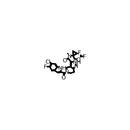 CN(C(=O)c1[nH]nc2c1CN(C(=O)c1cc3cc(F)c(Cl)cc3[nH]1)CC2)C1(COC(F)F)CC1